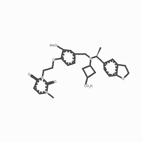 COc1cc(CN(C2CC(C(=O)O)C2)[C@@H](C)c2ccc3c(c2)CCO3)ccc1OCCn1c(=O)ccn(C)c1=O